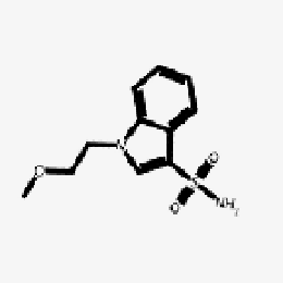 COCCn1cc(S(N)(=O)=O)c2ccccc21